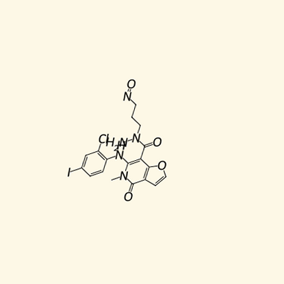 Cn1c(Nc2ccc(I)cc2Cl)c(C(=O)N(N)CCCN=O)c2occc2c1=O